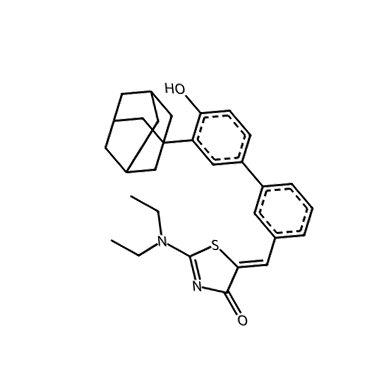 CCN(CC)C1=NC(=O)C(=Cc2cccc(-c3ccc(O)c(C45CC6CC(CC(C6)C4)C5)c3)c2)S1